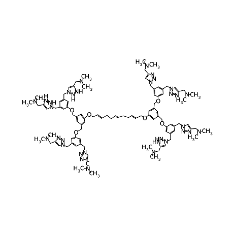 CN(C)CC1=CN(Cc2cc(CN3C=C(CN(C)C)NN3)cc(OCc3cc(COc4cc(Cn5cc(CN(C)C)nn5)cc(Cn5cc(CN(C)C)nn5)c4)cc(OCC=CCCC=CCCC=CCOc4cc(COc5cc(CN6C=C(CN(C)C)NN6)cc(Cn6cc(CN(C)C)nn6)c5)cc(COc5cc(Cn6cc(CN(C)C)nn6)cc(Cn6cc(CN(C)C)nn6)c5)c4)c3)c2)NN1